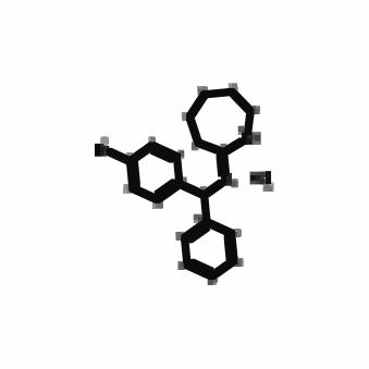 Brc1ccc(C(N=C2CCCCCN2)c2ccccc2)cc1.Cl